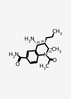 CCC[C@@H]1[C@@H](N)c2cc(C(N)=O)ccc2N(C(C)=O)[C@H]1C